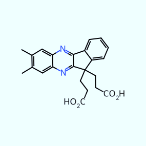 Cc1cc2nc3c(nc2cc1C)C(CCC(=O)O)(CCC(=O)O)c1ccccc1-3